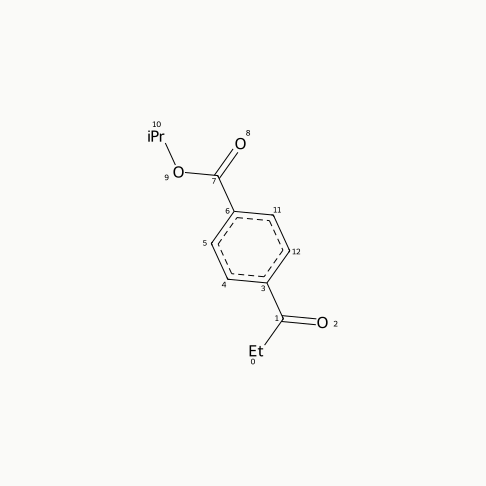 CCC(=O)c1ccc(C(=O)OC(C)C)cc1